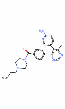 COCCN1CCN(C(=O)c2ccc(-c3ncnc(C)c3-c3ccc(N)nc3)cc2)CC1